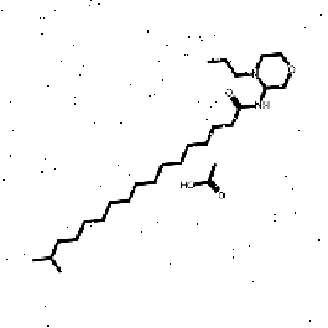 CC(=O)O.CCCN1CCOCC1NC(=O)CCCCCCCCCCCCCCC(C)C